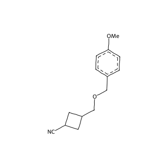 COc1ccc(COCC2CC(C#N)C2)cc1